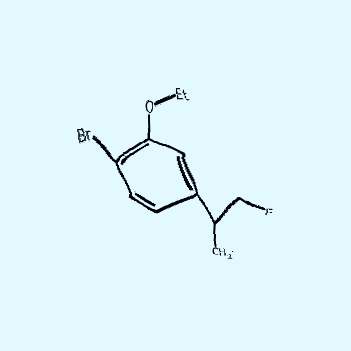 [CH2]C(CF)c1ccc(Br)c(OCC)c1